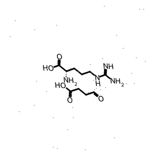 N=C(N)NCCC[C@H](N)C(=O)O.O=CCCC(=O)O